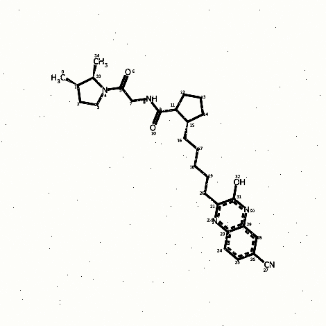 C[C@@H]1CCN(C(=O)CNC(=O)C2CCC[C@H]2CCCCCc2nc3ccc(C#N)cc3nc2O)[C@@H]1C